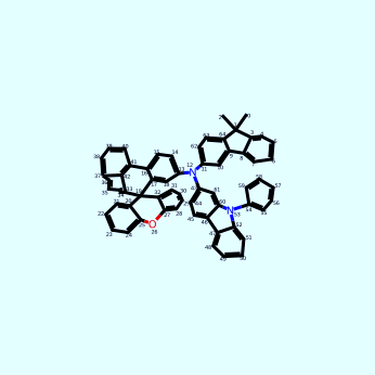 CC1(C)c2ccccc2-c2cc(N(c3ccc4c(c3)C3(c5ccccc5Oc5ccccc53)c3cccc5cccc-4c35)c3ccc4c5ccccc5n(-c5ccccc5)c4c3)ccc21